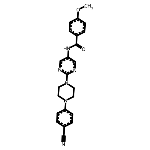 COc1ccc(C(=O)Nc2cnc(N3CCN(c4ccc(C#N)cc4)CC3)nc2)cc1